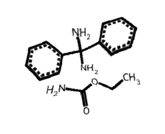 CCOC(N)=O.NC(N)(c1ccccc1)c1ccccc1